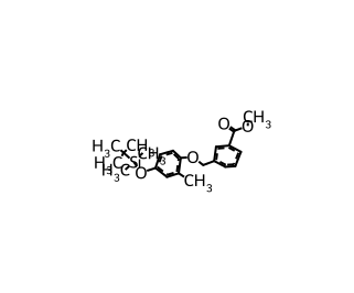 COC(=O)c1cccc(COc2ccc(O[Si](C)(C)C(C)(C)C)cc2C)c1